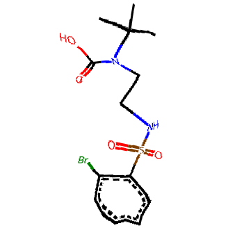 CC(C)(C)N(CCNS(=O)(=O)c1ccccc1Br)C(=O)O